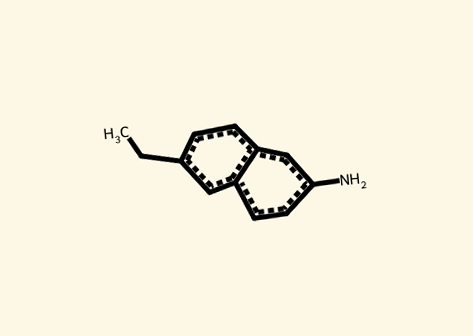 CCc1ccc2cc(N)ccc2c1